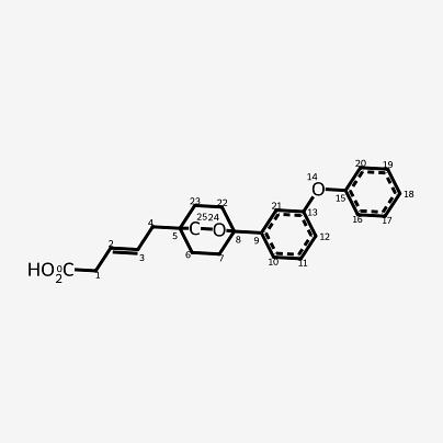 O=C(O)CC=CCC12CCC(c3cccc(Oc4ccccc4)c3)(CC1)OC2